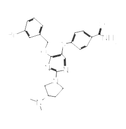 CN(C)[C@@H]1CCN(c2ncc(Sc3ccc(C(N)=O)cc3)c(OCc3cccc(Br)c3)n2)C1